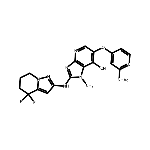 CC(=O)Nc1cc(Oc2cnc3nc(Nc4cc5n(n4)CCCC5(F)F)n(C)c3c2C#N)ccn1